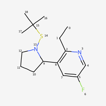 CCc1ncc(F)cc1C1CCCN1SC(C)(C)C